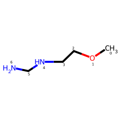 COCCNCN